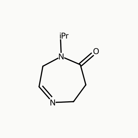 CC(C)N1CC=NCCC1=O